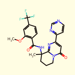 COc1cc(C(F)(F)F)ccc1C(=O)NC1(C)CCCn2c1nc(-c1ccncn1)cc2=O